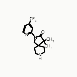 CC1(C)C(=O)N(c2cc(C(F)(F)F)ccn2)CC12CCNCC2